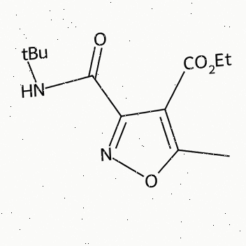 CCOC(=O)c1c(C(=O)NC(C)(C)C)noc1C